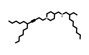 CCCCCCCC(CC)CNCC1CCN(CCC#CC(CCCCC)CCCCCC)CC1